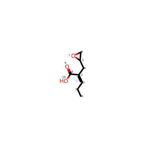 CC/C=C(/CC1CO1)C(=O)O